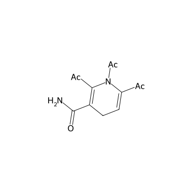 CC(=O)C1=CCC(C(N)=O)=C(C(C)=O)N1C(C)=O